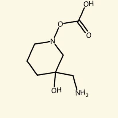 NCC1(O)CCCN(OC(=O)O)C1